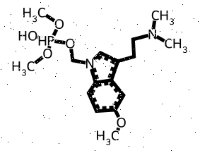 COc1ccc2c(c1)c(CCN(C)C)cn2CO[PH](O)(OC)OC